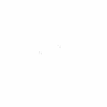 CC1(C)C=CN=C(c2ccccn2)C=C1